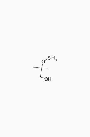 CC(C)(CO)O[SiH3]